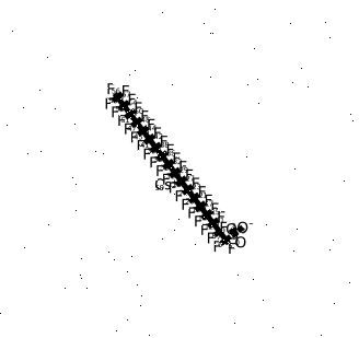 O=S(=O)([O-])C(F)(F)C(F)(F)C(F)(F)C(F)(F)C(F)(F)C(F)(F)C(F)(F)C(F)(F)C(F)(F)C(F)(F)C(F)(F)C(F)(F)C(F)(F)C(F)(F)C(F)(F)C(F)(F)C(F)(F)C(F)(F)F.[Cs+]